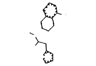 CCCN(C(CC)Cc1cccs1)[C@H]1CCc2c(O)cccc2C1